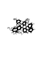 Cc1cc(C(C)(C)C)ccc1N1c2cc3c(cc2B2c4ccc5sc6ccccc6c5c4N(c4ccccc4C)c4cc(C(C)(C)C)cc1c42)C(C)(C)CCC3(C)C